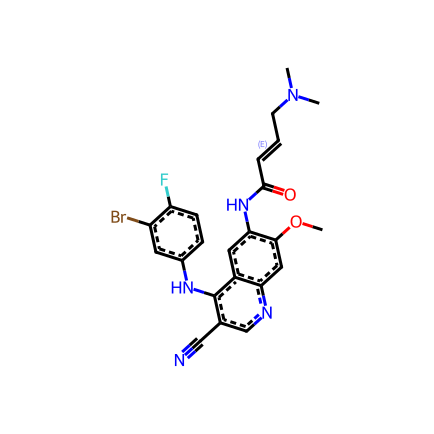 COc1cc2ncc(C#N)c(Nc3ccc(F)c(Br)c3)c2cc1NC(=O)/C=C/CN(C)C